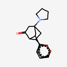 O=C1CC2(N3CCCC3)CC(c3ccccc3)C1C(c1ccccc1)C2